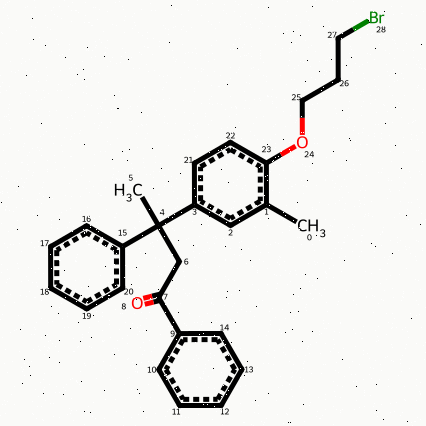 Cc1cc(C(C)(CC(=O)c2ccccc2)c2ccccc2)ccc1OCCCBr